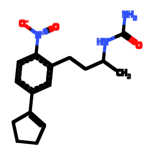 CC(CCc1cc(C2=CCCC2)ccc1[N+](=O)[O-])NC(N)=O